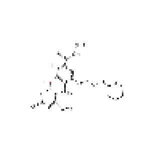 COC1=CC(=O)C[C@@H](C)C1C(=O)c1c(OCCOC2CCCCO2)cc(C(=O)NNC(C)=O)c(Cl)c1O